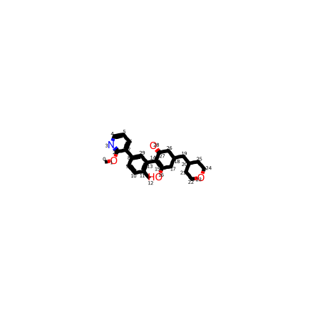 COc1ncccc1-c1ccc(C)c(C2=C(O)CC(CC3CCOCC3)CC2=O)c1